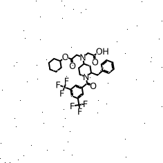 O=C(O)CN(CC(=O)OC1CCCCC1)C1CCN(C(=O)c2cc(C(F)(F)F)cc(C(F)(F)F)c2)C(Cc2ccccc2)C1